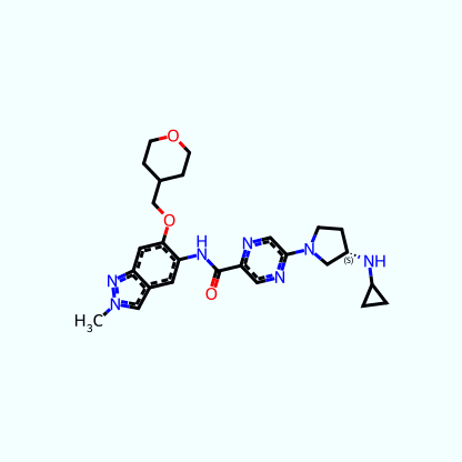 Cn1cc2cc(NC(=O)c3cnc(N4CC[C@H](NC5CC5)C4)cn3)c(OCC3CCOCC3)cc2n1